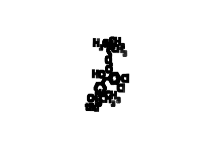 CC(C)(C)OC(=O)N1CCC(C(O)c2cc(Cl)c(Cl)cc2OCOCC[Si](C)(C)C)CC1(C)C